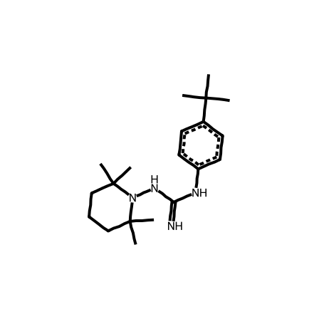 CC(C)(C)c1ccc(NC(=N)NN2C(C)(C)CCCC2(C)C)cc1